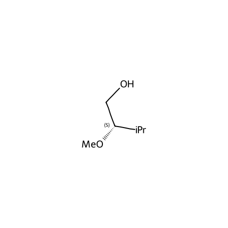 CO[C@H](CO)C(C)C